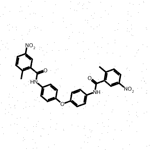 Cc1ccc([N+](=O)[O-])cc1C(=O)Nc1ccc(Oc2ccc(NC(=O)c3cc([N+](=O)[O-])ccc3C)cc2)cc1